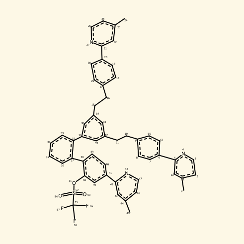 Cc1ccnc(-c2ccc(CCc3cc(CCc4ccc(-c5cc(C)ccn5)cc4)cc(-c4ccccc4-c4ccc(-c5cc(C)ccn5)cc4OS(=O)(=O)C(F)(F)F)c3)cc2)c1